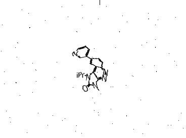 CC(C)n1c(=O)n(C)c2nnc3ccc(-c4cccnc4)cc3c21